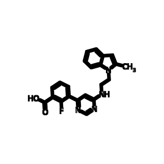 Cc1cc2ccccc2n1CCNc1cc(-c2cccc(C(=O)O)c2F)ncn1